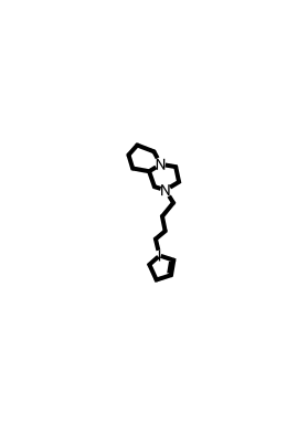 C1=CI(CCCCN2CCN3CCCCC3C2)CC1